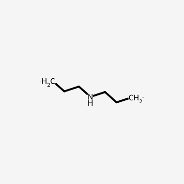 [CH2]CCNCC[CH2]